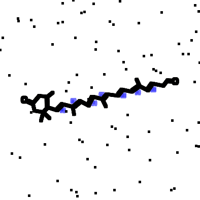 CC1=C(/C=C/C(C)=C/C=C/C(C)=C/C=C/C=C(C)/C=C/CC=O)C(C)(C)CC(=O)C1